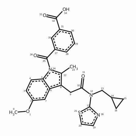 COc1ccc2c(c1)c(CC(=O)N(CC1CC1)c1nccs1)c(C)n2C(=O)c1cccc(C(=O)O)c1